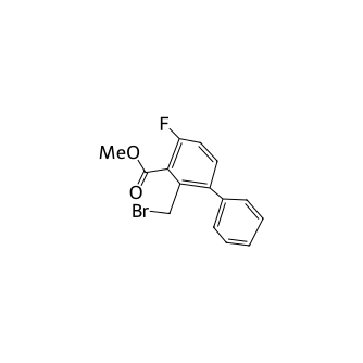 COC(=O)c1c(F)ccc(-c2ccccc2)c1CBr